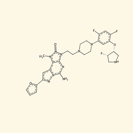 Cn1c(=O)n(CCN2CCN(c3cc(O[C@@H]4CNC[C@@H]4F)c(F)cc3F)CC2)c2nc(N)n3nc(-c4ccco4)cc3c21